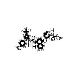 COCC(=O)Nc1cc(Oc2ccc(NC(=O)Nc3cc(C(C)(C)C)nn3-c3ccc(OC)cc3)c3ccccc23)ccn1